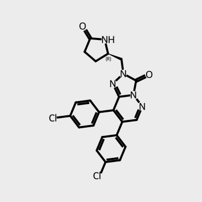 O=C1CC[C@H](Cn2nc3c(-c4ccc(Cl)cc4)c(-c4ccc(Cl)cc4)cnn3c2=O)N1